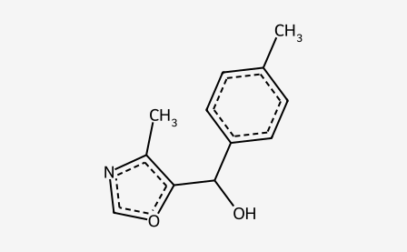 Cc1ccc(C(O)c2ocnc2C)cc1